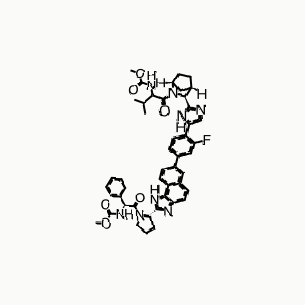 COC(=O)NC(C(=O)N1[C@@H]2CC[C@@H](C2)[C@H]1c1ncc(-c2ccc(-c3ccc4c(ccc5nc([C@@H]6CCCN6C(=O)[C@H](NC(=O)OC)c6ccccc6)[nH]c54)c3)cc2F)[nH]1)C(C)C